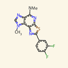 CNc1nc2sc(-c3ccc(F)c(F)c3)nc2c2c1ncn2C